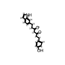 O=C(CCc1ccc(O)cc1)CC(=O)CCc1ccc2cc[nH]c2c1